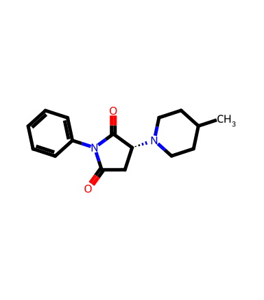 CC1CCN([C@@H]2CC(=O)N(c3ccccc3)C2=O)CC1